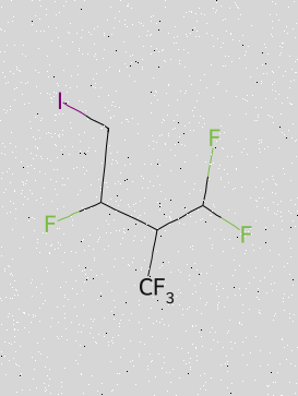 FC(F)C(C(F)CI)C(F)(F)F